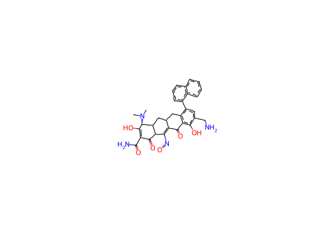 CN(C)[C@@H]1C(O)=C(C(N)=O)C(=O)C2C(N=O)=C3C(=O)c4c(O)c(CN)cc(-c5cccc6ccccc56)c4CC3CC21